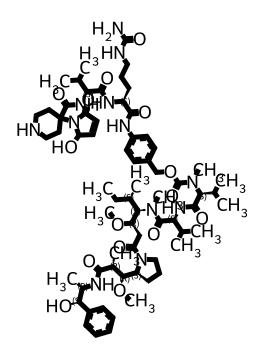 CC[C@H](C)[C@@H]([C@@H](CC(=O)N1CCC[C@H]1[C@H](OC)[C@@H](C)C(=O)N[C@H](C)[C@@H](O)c1ccccc1)OC)N(C)C(=O)[C@@H](NC(=O)[C@H](C(C)C)N(C)C(=O)OCc1ccc(NC(=O)[C@H](CCCNC(N)=O)NC(=O)[C@@H](NC(=O)C2(N3C(=O)C=CC3O)CCNCC2)C(C)C)cc1)C(C)C